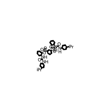 CC(C)c1ccc(NC(=O)Nc2ccccc2OS(=O)(=O)c2cccc(S(=O)(=O)Oc3ccccc3NC(=O)Nc3ccc(C(C)C)cc3)c2)cc1